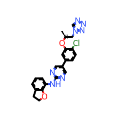 C[C@@H](Cn1cnnn1)Oc1cc(-c2cnc(Nc3cccc4c3OCC4)nc2)ccc1Cl